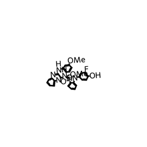 COc1cc(Nc2nc3ccccc3nc2NS(=O)(=O)c2ccccc2Nc2ccc(O)c(F)c2)cc(OC)c1